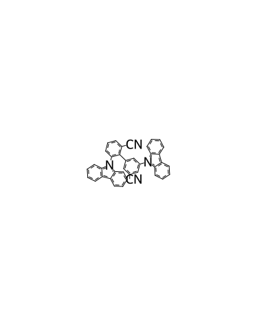 N#Cc1cc(-c2c(C#N)cccc2-n2c3ccccc3c3ccccc32)cc(-n2c3ccccc3c3ccccc32)c1